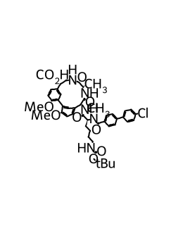 COc1ccc2cc1-c1cc(ccc1OC)[C@H](N(C)C(=O)[C@H](CCCCNC(=O)OC(C)(C)C)NC(=O)c1ccc(-c3ccc(Cl)cc3)cc1)C(=O)N[C@@H](C)C(=O)N[C@H](C(=O)O)C2